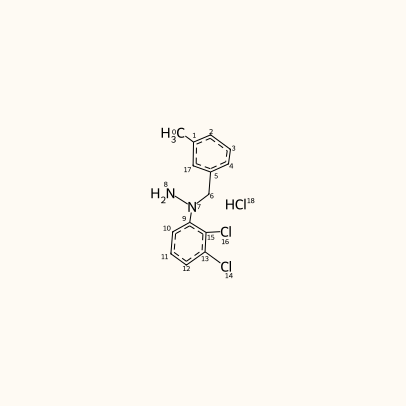 Cc1cccc(CN(N)c2cccc(Cl)c2Cl)c1.Cl